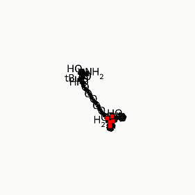 CC(C)(C)[C@H](NC(=O)COCCOCCOCCOCCOCCOc1cc(N2CC3CCC2CN(c2cc(-c4ccccc4O)nnc2N)C3)ccn1)C(=O)N1C[C@H](O)C[C@H]1C(N)=O